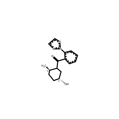 C[C@@H]1CC[C@@H](O)CC1C(=O)c1ccccc1-n1nccn1